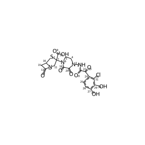 O=C(NN1CCN(C2(C(=O)O)CN3C(=O)CC3S2)C(=O)C1=O)C(=O)c1ccc(O)c(O)c1Cl